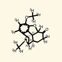 [2H]c1c([2H])c(OC([2H])([2H])[2H])c2c3c1C[C@@H]1[C@@H]4CC([2H])([2H])C(=O)C([2H])(O2)[C@]34CCN1C([2H])([2H])[2H]